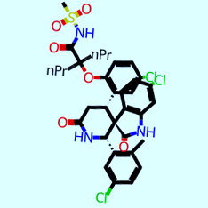 CCCC(CCC)(Oc1ccc(Cl)cc1[C@H]1CC(=O)N[C@@H](c2cc(Cl)ccc2C)[C@]12C(=O)Nc1cc(Cl)ccc12)C(=O)NS(C)(=O)=O